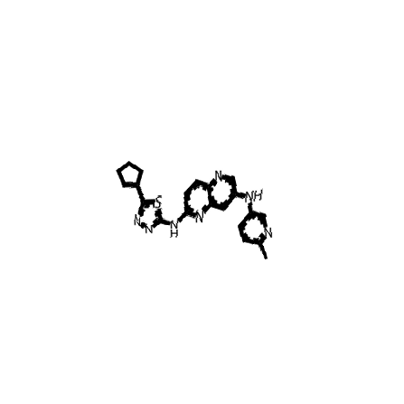 Cc1ccc(Nc2cnc3ccc(Nc4nnc(C5CCCC5)s4)nc3c2)cn1